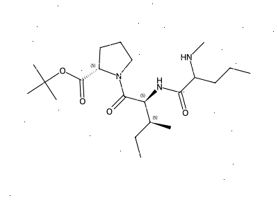 CCCC(NC)C(=O)N[C@H](C(=O)N1CCC[C@H]1C(=O)OC(C)(C)C)[C@@H](C)CC